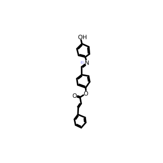 O=C(C=Cc1ccccc1)Oc1ccc(/C=N/c2ccc(O)cc2)cc1